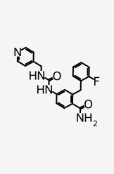 NC(=O)c1ccc(NC(=O)NCc2ccncc2)cc1Cc1ccccc1F